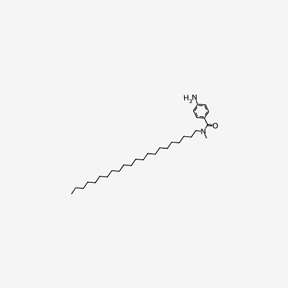 CCCCCCCCCCCCCCCCCCCCCCN(C)C(=O)c1ccc(N)cc1